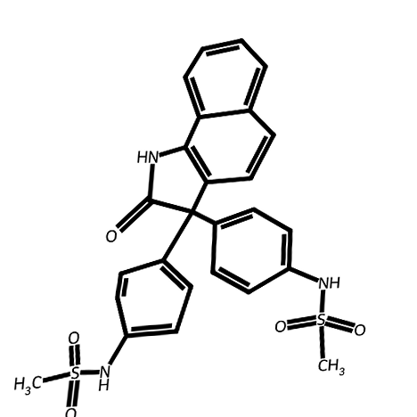 CS(=O)(=O)Nc1ccc(C2(c3ccc(NS(C)(=O)=O)cc3)C(=O)Nc3c2ccc2ccccc32)cc1